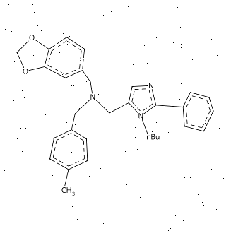 CCCCn1c(CN(Cc2ccc(C)cc2)Cc2ccc3c(c2)OCO3)cnc1-c1ccccc1